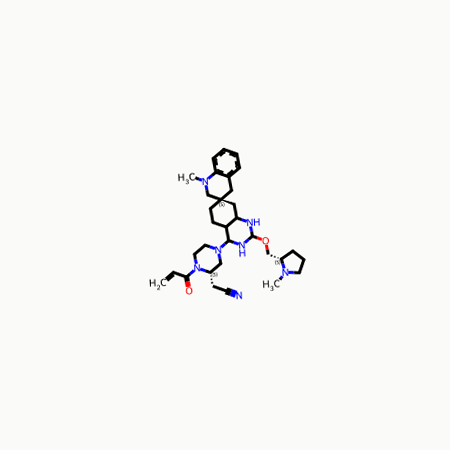 C=CC(=O)N1CCN(C2NC(OC[C@@H]3CCCN3C)NC3C[C@]4(CCC32)Cc2ccccc2N(C)C4)C[C@@H]1CC#N